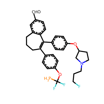 O=Cc1ccc2c(c1)CCCC(c1ccc(OC(F)(F)P)cc1)=C2c1ccc(OC2CCN(CCCF)C2)cc1